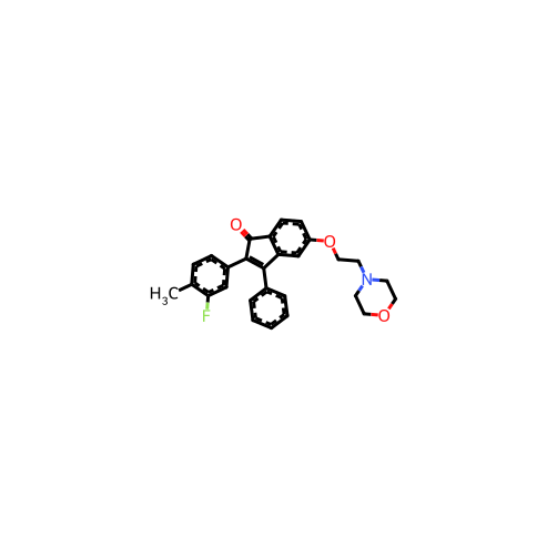 Cc1ccc(C2=C(c3ccccc3)c3cc(OCCN4CCOCC4)ccc3C2=O)cc1F